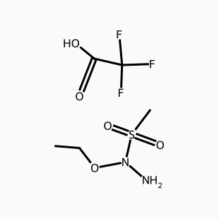 CCON(N)S(C)(=O)=O.O=C(O)C(F)(F)F